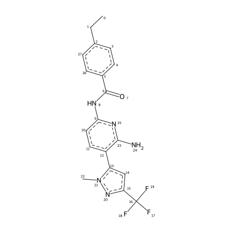 CCc1ccc(C(=O)Nc2ccc(-c3cc(C(F)(F)F)nn3C)c(N)n2)cc1